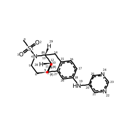 CS(=O)(=O)N1CC[C@]23CCCC[C@H]2[C@H]1Cc1ccc(Nc2cncnc2)cc13